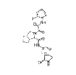 O=C[C@H](C[C@@H]1CCNC1=O)NC(=O)C1C2CCCC2CN1C(=O)C(=O)Nc1ccccc1F